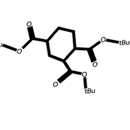 CC(C)(C)OC(=O)C1CCC(C(=O)OC(C)(C)C)C(C(=O)OC(C)(C)C)C1